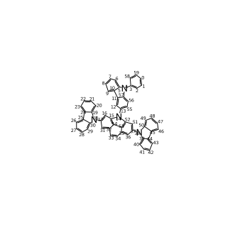 c1ccc(-n2c3ccccc3c3cc(-n4c5cc(-n6c7ccccc7c7ccccc76)cc6ccc7cc(-n8c9ccccc9c9ccccc98)cc4c7c65)ccc32)cc1